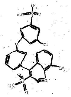 CS(=O)(=O)c1cc(Cl)cc(Oc2cccc(-c3c(S(C)(=O)=O)cnc4c(C(F)(F)F)cccc34)c2)c1